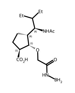 BNC(=O)CO[C@H]1[C@@H]([C@H](NC(C)=O)C(CC)CC)CC[C@@H]1C(=O)O